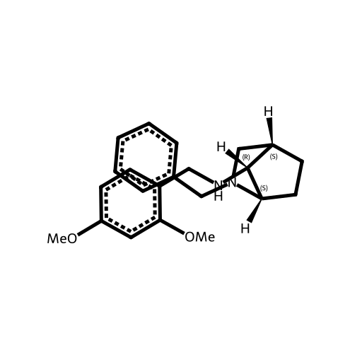 COc1ccc(CN[C@@H]2[C@H]3CC[C@@H]2N(Cc2ccccc2)C3)c(OC)c1